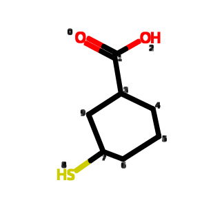 O=C(O)C1CCCC(S)C1